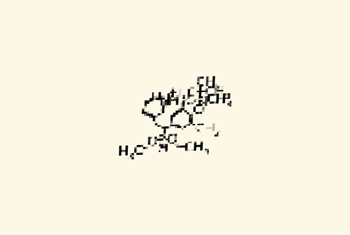 CCOP(=O)(OCC)C(Cc1cccnc1)c1cc(C)c(O[Si](C)(C)C(C)(C)C)c(OC)c1